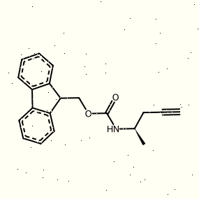 C#CC[C@@H](C)NC(=O)OCC1c2ccccc2-c2ccccc21